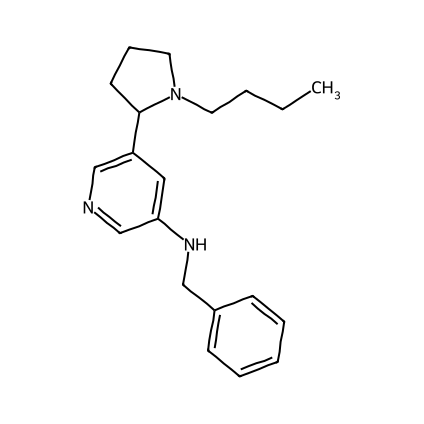 CCCCN1CCCC1c1cncc(NCc2ccccc2)c1